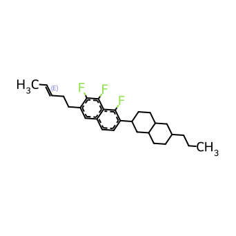 C/C=C/CCc1cc2ccc(C3CCC4CC(CCC)CCC4C3)c(F)c2c(F)c1F